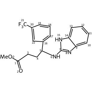 COC(=O)CCC(Nc1nc2ccccc2[nH]1)c1cccc(C(F)(F)F)c1